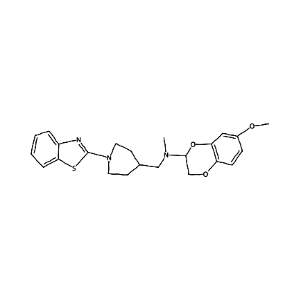 COc1ccc2c(c1)OC(N(C)CC1CCN(c3nc4ccccc4s3)CC1)CO2